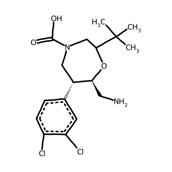 CC(C)(C)C1CN(C(=O)O)C[C@@H](c2ccc(Cl)c(Cl)c2)[C@H](CN)O1